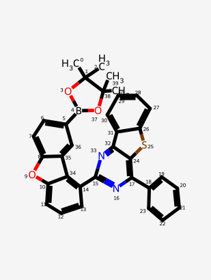 CC1(C)OB(c2ccc3oc4cccc(-c5nc(-c6ccccc6)c6sc7ccccc7c6n5)c4c3c2)OC1(C)C